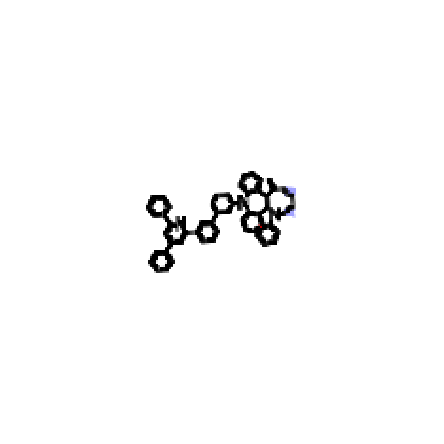 C=C1/C=C\C=C/N(c2ccccc2)C2=C1c1ccccc1N(c1cccc(-c3cccc(-c4cc(-c5ccccc5)cc(-c5ccccc5)n4)c3)c1)c1ccccc12